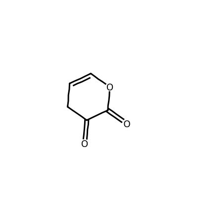 O=C1CC=COC1=O